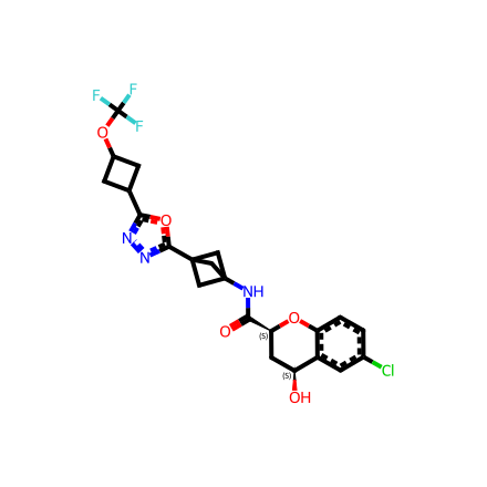 O=C(NC12CC(c3nnc(C4CC(OC(F)(F)F)C4)o3)(C1)C2)[C@@H]1C[C@H](O)c2cc(Cl)ccc2O1